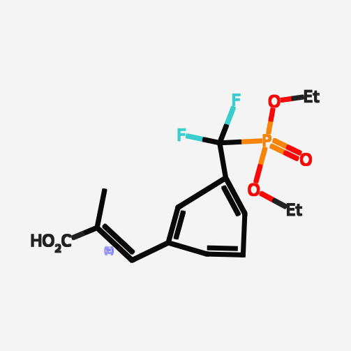 CCOP(=O)(OCC)C(F)(F)c1cccc(/C=C(\C)C(=O)O)c1